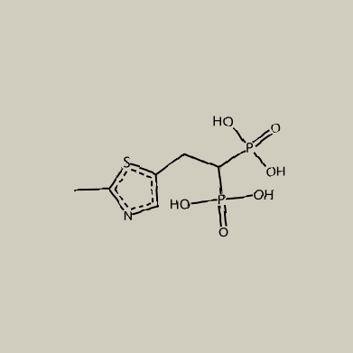 Cc1ncc(CC(P(=O)(O)O)P(=O)(O)O)s1